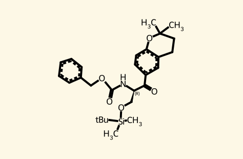 CC1(C)CCc2cc(C(=O)[C@@H](CO[Si](C)(C)C(C)(C)C)NC(=O)OCc3ccccc3)ccc2O1